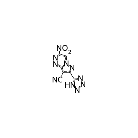 N#Cc1c(-c2nnn[nH]2)nn2cc([N+](=O)[O-])nnc12